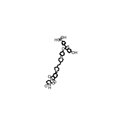 O=C1CCC(N2C(=O)c3ccc(N4CCC(CCC5CCN(c6ccc(Oc7c(-c8ccc(B(O)O)cc8)sc8cc(O)ccc78)cc6)CC5)CC4)cc3C2=O)C(=O)N1